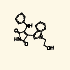 O=C1NC(=O)C(c2cn(CCO)c3ccccc23)=C1Nc1ccccc1